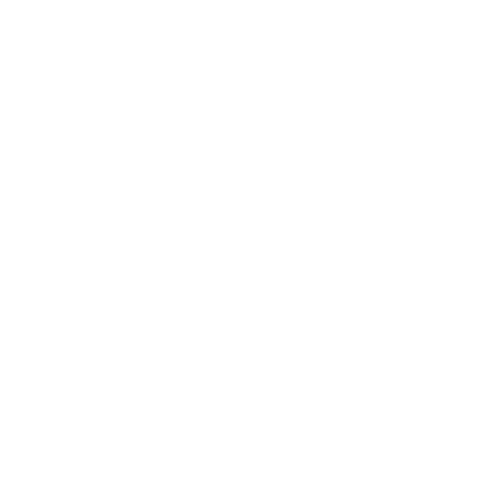 [CH2]CCCCCCC#CCCCCCCCCCCCCCCCC[CH2]